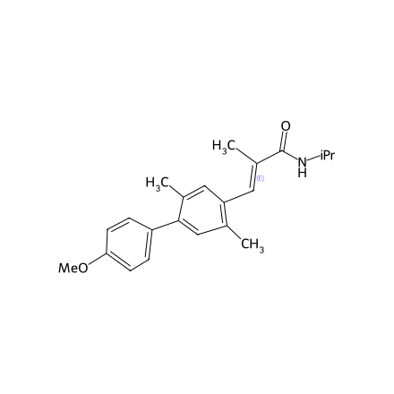 COc1ccc(-c2cc(C)c(/C=C(\C)C(=O)NC(C)C)cc2C)cc1